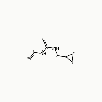 C=CNC(=C)NCC1CC1